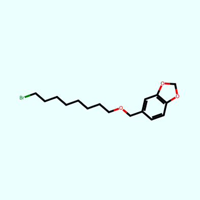 BrCCCCCCCCOCc1ccc2c(c1)OCO2